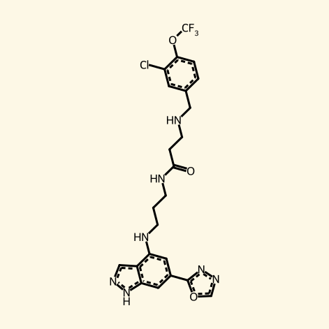 O=C(CCNCc1ccc(OC(F)(F)F)c(Cl)c1)NCCCNc1cc(-c2nnco2)cc2[nH]ncc12